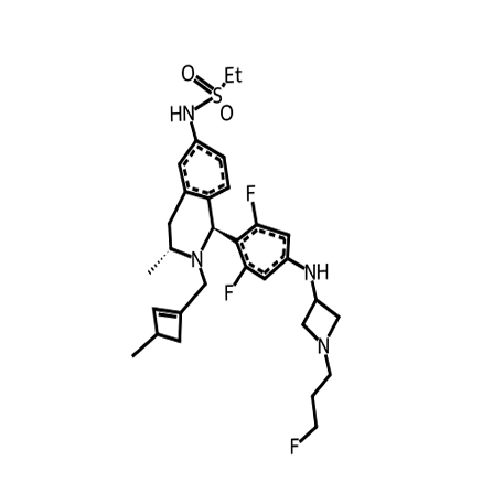 CCS(=O)(=O)Nc1ccc2c(c1)C[C@@H](C)N(CC1=CC(C)C1)[C@@H]2c1c(F)cc(NC2CN(CCCF)C2)cc1F